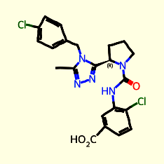 Cc1nnc([C@H]2CCCN2C(=O)Nc2cc(C(=O)O)ccc2Cl)n1Cc1ccc(Cl)cc1